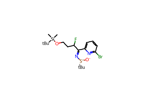 CC(C)(C)[S@@+]([O-])/N=C(\c1cccc(Br)n1)C(F)CCO[Si](C)(C)C(C)(C)C